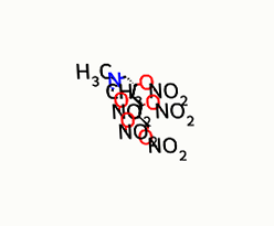 CN(C)C[C@H](O[N+](=O)[O-])[C@@H](O[N+](=O)[O-])[C@H](O[N+](=O)[O-])[C@@H](CO[N+](=O)[O-])O[N+](=O)[O-]